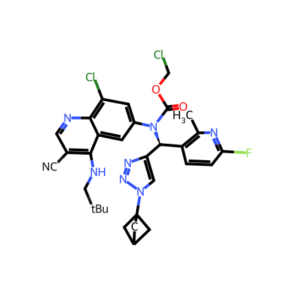 Cc1nc(F)ccc1[C@@H](c1cn(C23CC(C2)C3)nn1)N(C(=O)OCCl)c1cc(Cl)c2ncc(C#N)c(NCC(C)(C)C)c2c1